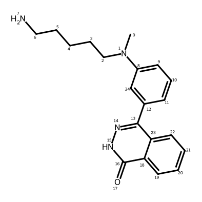 CN(CCCCCN)c1cccc(-c2n[nH]c(=O)c3ccccc23)c1